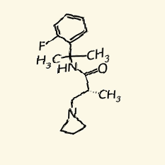 C[C@H](CN1CCC1)C(=O)NC(C)(C)c1ccccc1F